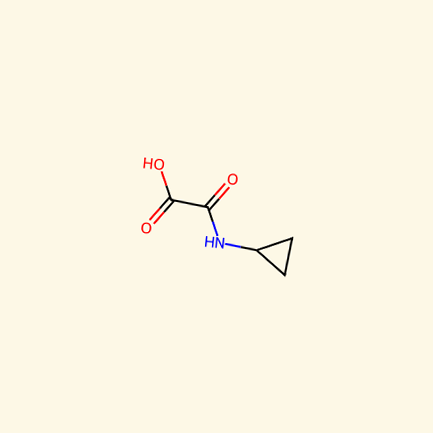 O=C(O)C(=O)NC1CC1